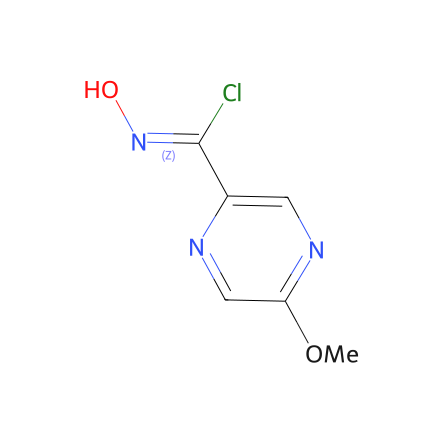 COc1cnc(/C(Cl)=N/O)cn1